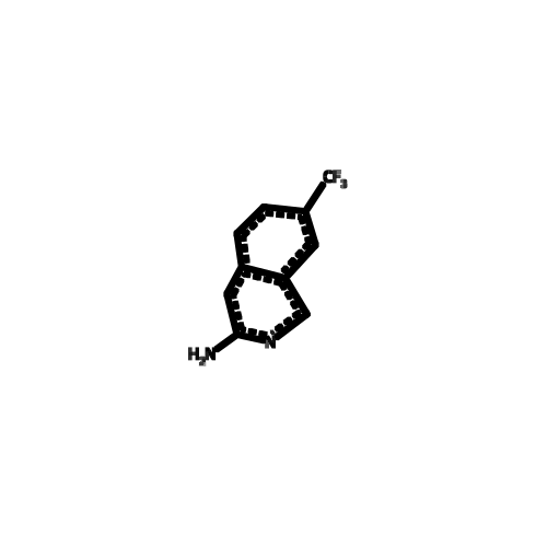 Nc1cc2ccc(C(F)(F)F)cc2cn1